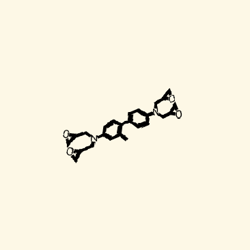 Cc1cc(N(CC2CO2)CC2CO2)ccc1-c1ccc(N(CC2CO2)CC2CO2)cc1